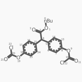 CCCCOC(=O)C(c1ccc(OC(=O)Cl)cc1)c1ccc(OC(=O)Cl)cc1